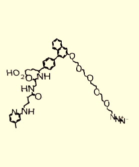 Cc1ccnc(NCCCC(=O)NCC(=O)NC(CC(=O)O)c2ccc(-c3cc(OCCOCCOCCOCCOCCN=[N+]=[N-])cc4ccccc34)cc2)c1